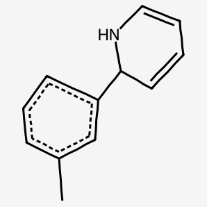 Cc1cccc(C2C=CC=CN2)c1